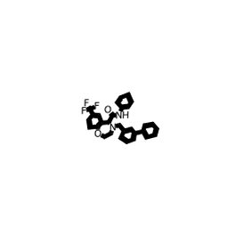 O=C(Nc1ccccc1)C1c2cc(C(F)(F)F)ccc2OCCN1Cc1cccc(-c2ccccc2)c1